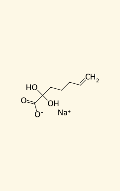 C=CCCCC(O)(O)C(=O)[O-].[Na+]